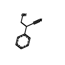 N#CC(CO)c1ccccc1